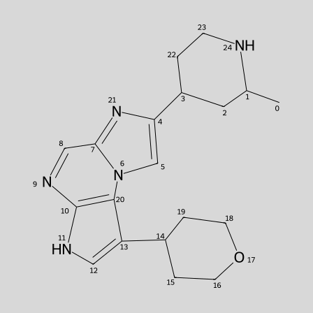 CC1CC(c2cn3c(cnc4[nH]cc(C5CCOCC5)c43)n2)CCN1